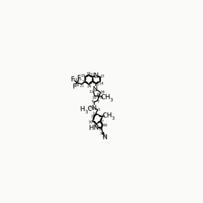 Cc1c(CN(C)CC[C@]2(C)CCN(c3ccnc4ccc(CC(F)(F)F)cc34)C2)ccc2[nH]c(C#N)cc12